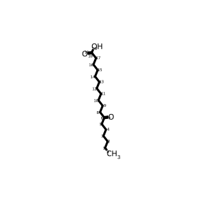 CCCCCCC(=O)CCCCCCCCCCC(=O)O